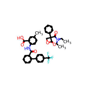 CCN(CC)C(=O)C1(c2ccccc2)COC1=O.Cc1ccc(NC(=O)c2ccccc2-c2ccc(C(F)(F)F)cc2)c(C(=O)O)c1